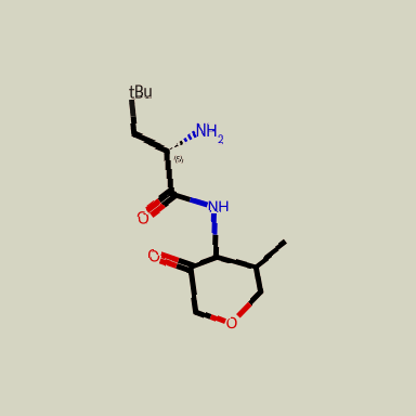 CC1COCC(=O)C1NC(=O)[C@@H](N)CC(C)(C)C